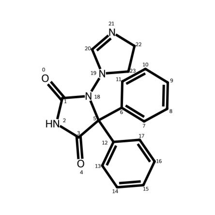 O=C1NC(=O)C(c2ccccc2)(c2ccccc2)N1N1C=NCC1